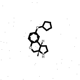 C[C@@]12COc3ccc(OC4CCCC4)cc3[C@@H]1CCN2